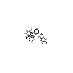 O=C(Nc1cc(F)c(F)c(F)c1)c1ccc(Cl)c(S[C@@H]2CC3CC[C@@H](C2)[C@@]3(O)c2ccccn2)c1